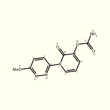 COc1ccc(-n2cccc(OC(N)=O)c2=O)nn1